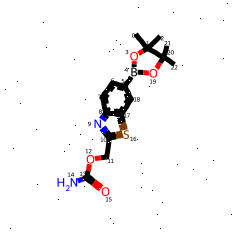 CC1(C)OB(c2ccc3nc(COC(N)=O)sc3c2)OC1(C)C